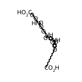 O=C(O)CCCCCCCCCCCOc1ccc(S(=O)(=O)Nc2ccc(C(=O)NCCOCCOCC(=O)NCCOCCOCC(=O)O)cc2)cc1